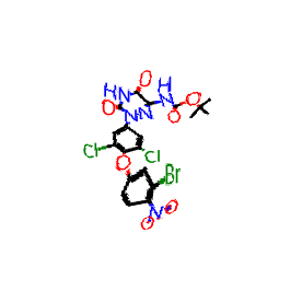 CC(C)(C)OC(=O)Nc1nn(-c2cc(Cl)c(Oc3ccc([N+](=O)[O-])c(Br)c3)c(Cl)c2)c(=O)[nH]c1=O